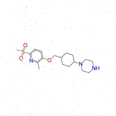 Cc1nc(S(C)(=O)=O)ccc1OCC1CCC(N2CCNCC2)CC1